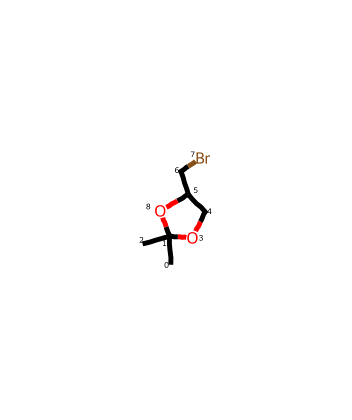 CC1(C)OCC(CBr)O1